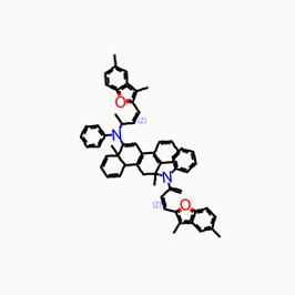 C=C(/C=C\c1oc2ccc(C)cc2c1C)N(c1ccccc1)C1(C)CC2=C(C=C(N(c3ccccc3)C(C)/C=C\c3oc4ccc(C)cc4c3C)C3(C)C=CC=CC23)C2=C1CCC=C2